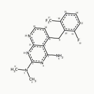 CN(C)c1nc(N)c2c(Cc3c(F)cccc3C(F)(F)F)ccnc2n1